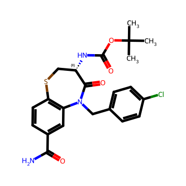 CC(C)(C)OC(=O)N[C@H]1CSc2ccc(C(N)=O)cc2N(Cc2ccc(Cl)cc2)C1=O